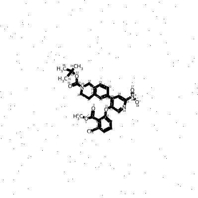 COC(=O)c1c(Cl)cccc1Oc1cnc([N+](=O)[O-])cc1-c1ccc2c(c1)CCN(C(=O)OC(C)(C)C)C2